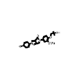 COc1cc(N2Cc3nn(-c4ccc(Cl)cc4)cc3C2=O)ccc1OCC(C)(C)O